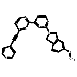 COc1ccc2c(c1)CN(c1nccc(-c3nccc(C#Cc4ccncc4)n3)n1)C2